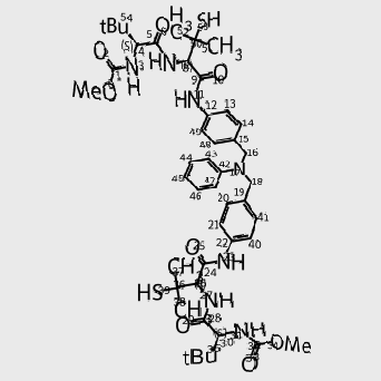 COC(=O)N[C@H](C(=O)N[C@H](C(=O)Nc1ccc(CN(Cc2ccc(NC(=O)[C@@H](NC(=O)[C@@H](NC(=O)OC)C(C)(C)C)C(C)(C)S)cc2)c2ccccc2)cc1)C(C)(C)S)C(C)(C)C